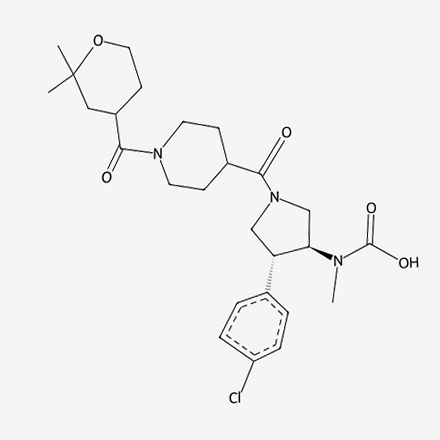 CN(C(=O)O)[C@@H]1CN(C(=O)C2CCN(C(=O)C3CCOC(C)(C)C3)CC2)C[C@H]1c1ccc(Cl)cc1